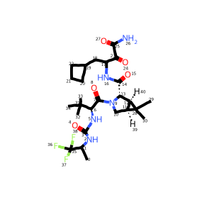 CC(NC(=O)N[C@H](C(=O)N1C[C@H]2[C@@H]([C@H]1C(=O)NC(CC1CCC1)C(=O)C(N)=O)C2(C)C)C(C)(C)C)C(F)(F)F